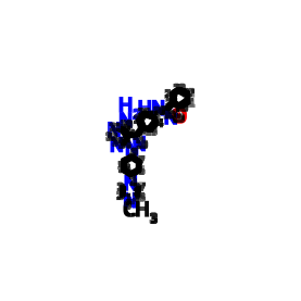 CN1CCN([C@H]2CC[C@@H](n3nc(-c4ccc(Nc5noc6ccccc56)cc4)c4c(N)ncnc43)CC2)CC1